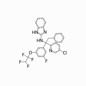 Fc1cc(OC(F)(F)C(F)F)cc(C(Cc2ccccc2)(Nc2nc3ccccc3[nH]2)c2ccc(Cl)cn2)c1